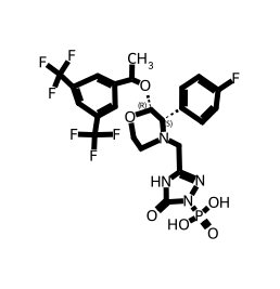 CC(O[C@H]1OCCN(Cc2nn(P(=O)(O)O)c(=O)[nH]2)[C@H]1c1ccc(F)cc1)c1cc(C(F)(F)F)cc(C(F)(F)F)c1